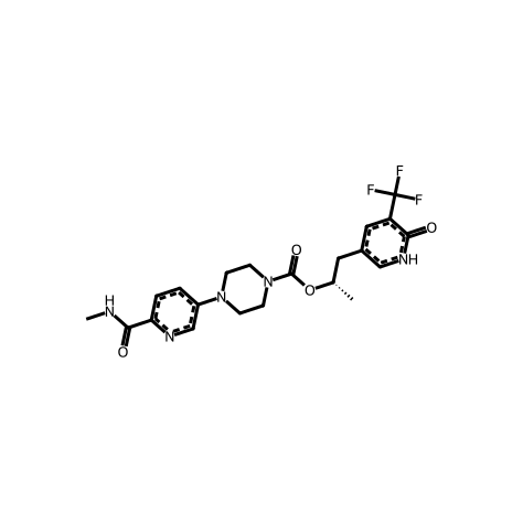 CNC(=O)c1ccc(N2CCN(C(=O)O[C@@H](C)Cc3c[nH]c(=O)c(C(F)(F)F)c3)CC2)cn1